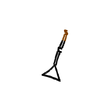 S=C=C1CC1